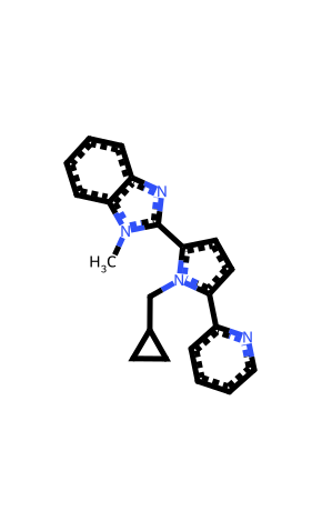 Cn1c(-c2ccc(-c3ccccn3)n2CC2CC2)nc2ccccc21